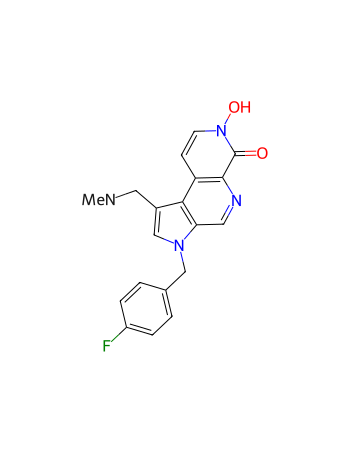 CNCc1cn(Cc2ccc(F)cc2)c2cnc3c(=O)n(O)ccc3c12